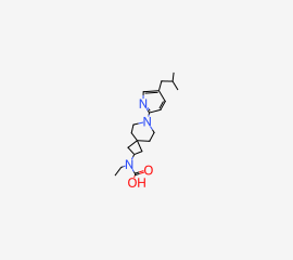 CCN(C(=O)O)C1CC2(CCN(c3ccc(CC(C)C)cn3)CC2)C1